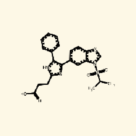 CC(C)S(=O)(=O)n1cnc2ccc(-c3nc(CCC(=O)O)[nH]c3-c3ccccc3)cc21